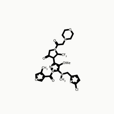 COc1c(C2C(=O)CN(C(=O)CN3CCOCC3)C2C(F)(F)F)nn(C(=O)c2cocc2C)c1N(C)Cc1ccc(Cl)s1